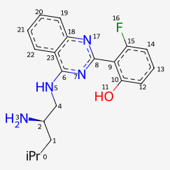 CC(C)C[C@@H](N)CNc1nc(-c2c(O)cccc2F)nc2ccccc12